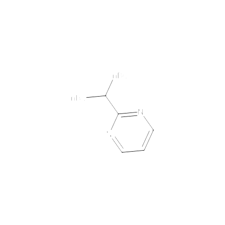 CCCCC(CCCC)c1ncccn1